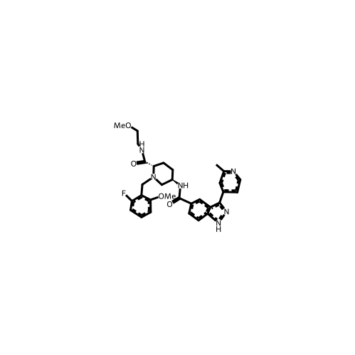 COCCNC(=O)[C@@H]1CC[C@@H](NC(=O)c2ccc3[nH]nc(-c4ccnc(C)c4)c3c2)CN1Cc1c(F)cccc1OC